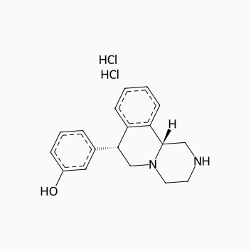 Cl.Cl.Oc1cccc([C@H]2CN3CCNC[C@H]3c3ccccc32)c1